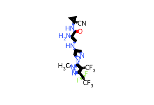 Cn1nc(C(F)(F)C(F)(F)F)c(C(F)(F)F)c1-n1cc(N/C=C(\N)C(=O)NC2(C#N)CC2)cn1